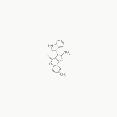 Cc1ccc2oc(=O)c3c(c2c1)OC([N+](=O)[O-])C3c1c[nH]c2ccccc12